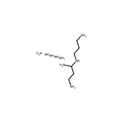 N.N.N.N.N.NCCCNC(N)CCN